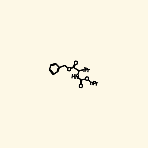 CCCOC(=O)NC(C(=O)OCc1ccccc1)C(C)C